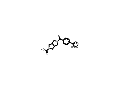 O=C(O)N1CC2CN(C(=O)c3ccc(-c4nnn[nH]4)cc3)CC2C1